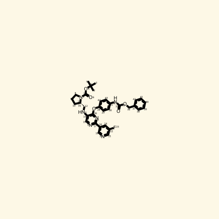 CC(C)(C)OC(=O)N1CCC[C@H]1CNc1cnc(-c2cncc(F)c2)nc1Oc1ccc(NC(=O)OCc2ccccc2)cc1